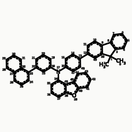 CC1(C)c2ccccc2-c2ccc(-c3ccc(N(c4cccc(-c5cccc6ccccc56)c4)c4cccc5oc6ccccc6c45)cc3)cc21